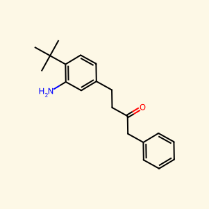 CC(C)(C)c1ccc(CCC(=O)Cc2ccccc2)cc1N